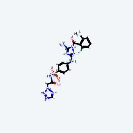 Cc1cccc(F)c1C(=O)n1nc(Nc2ccc(S(=O)(=O)NC(=O)Cn3ncnn3)cc2)nc1N